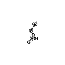 C[C@@H](NC(=O)OCc1ccccc1)c1ccc(-c2cnn(CCCCC(=O)OC(C)(C)C)c2)cc1